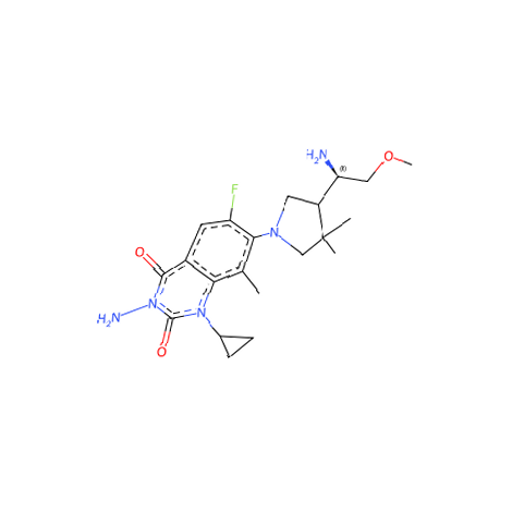 COC[C@H](N)C1CN(c2c(F)cc3c(=O)n(N)c(=O)n(C4CC4)c3c2C)CC1(C)C